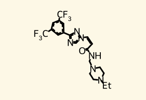 CCN1CCN(CNC(=O)/C=C\n2cnc(-c3cc(C(F)(F)F)cc(C(F)(F)F)c3)n2)CC1